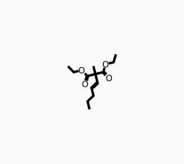 CCCC=CC(C)(C(=O)OCC)C(=O)OCC